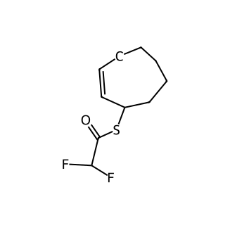 O=C(SC1C=CCCCCC1)C(F)F